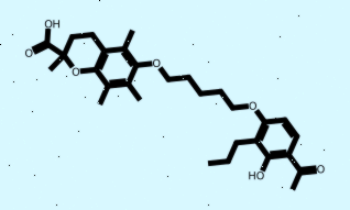 CCCc1c(OCCCCCOc2c(C)c(C)c3c(c2C)CCC(C)(C(=O)O)O3)ccc(C(C)=O)c1O